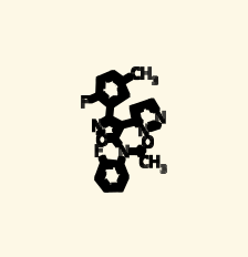 CC(=O)N(c1ccccc1F)c1onc(-c2cc(C)ccc2F)c1-c1ccncn1